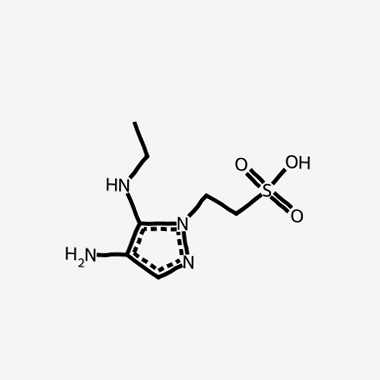 CCNc1c(N)cnn1CCS(=O)(=O)O